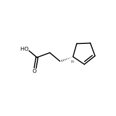 O=C(O)CC[C@H]1C=CCC1